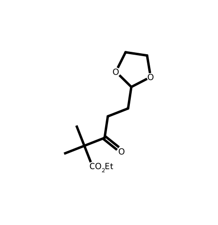 CCOC(=O)C(C)(C)C(=O)CCC1OCCO1